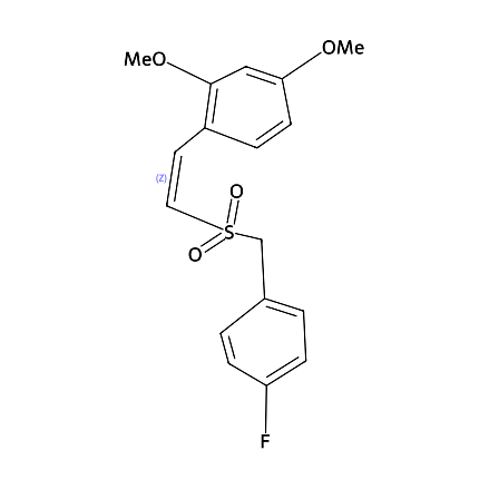 COc1ccc(/C=C\S(=O)(=O)Cc2ccc(F)cc2)c(OC)c1